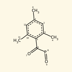 Cc1cc(C)c(C(=O)P=O)c(C)c1